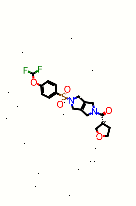 O=C([C@@H]1CCOC1)N1CC2=C(C1)CN(S(=O)(=O)c1ccc(OC(F)F)cc1)C2